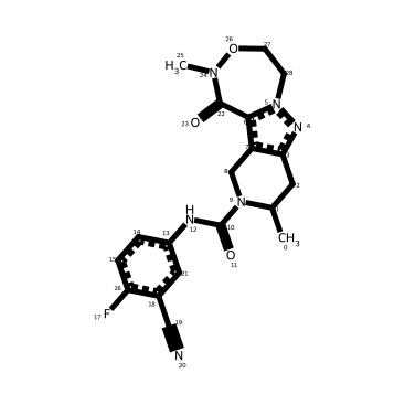 CC1Cc2nn3c(c2CN1C(=O)Nc1ccc(F)c(C#N)c1)C(=O)N(C)OCC3